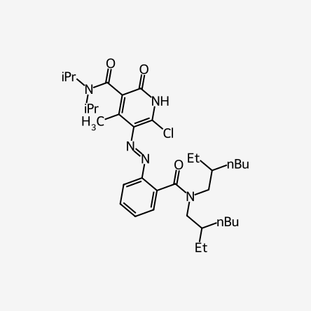 CCCCC(CC)CN(CC(CC)CCCC)C(=O)c1ccccc1/N=N/c1c(Cl)[nH]c(=O)c(C(=O)N(C(C)C)C(C)C)c1C